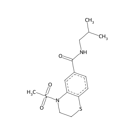 CC(C)CNC(=O)c1ccc2c(c1)N(S(C)(=O)=O)CCS2